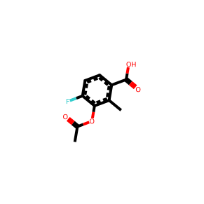 CC(=O)Oc1c(F)ccc(C(=O)O)c1C